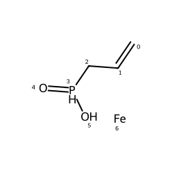 C=CC[PH](=O)O.[Fe]